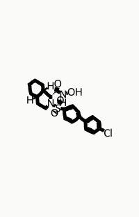 O=C(NO)[C@H]1[C@H]2CCCC[C@H]2CCN1S(=O)(=O)c1ccc(-c2ccc(Cl)cc2)cc1